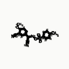 COc1ccc(C(C#N)=NOS(=O)(=O)c2ccc(C)cc2)cc1C#N